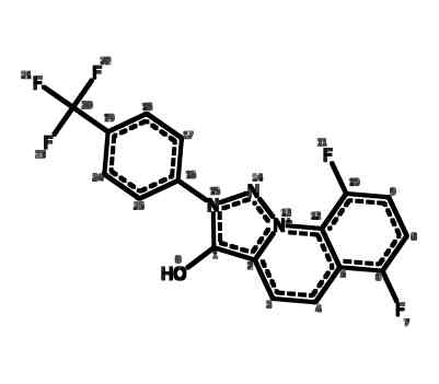 Oc1c2ccc3c(F)ccc(F)c3[n+]2nn1-c1ccc(C(F)(F)F)cc1